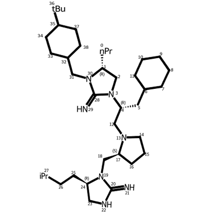 CCC[C@@H]1CN([C@H](CC2CCCCC2)CN2CCC[C@H]2CN2C(=N)NC[C@H]2CCC(C)C)C(=N)N1CC1CCC(C(C)(C)C)CC1